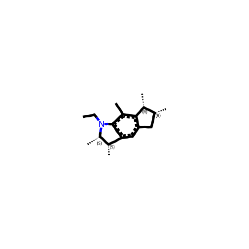 CCN1c2c(cc3c(c2C)[C@H](C)[C@H](C)C3)[C@H](C)[C@@H]1C